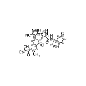 CCN(C)C(=O)CN(C)Cc1ccc(-c2c(C#N)n[nH]c2-c2c[nH]c(C(=O)N[C@H](CO)c3cccc(Cl)c3)c2)cc1Cl